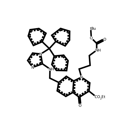 CCOC(=O)c1cn(CCCNC(=O)OC(C)(C)C)c2cc(CNc3nccn3C(c3ccccc3)(c3ccccc3)c3ccccc3)ccc2c1=O